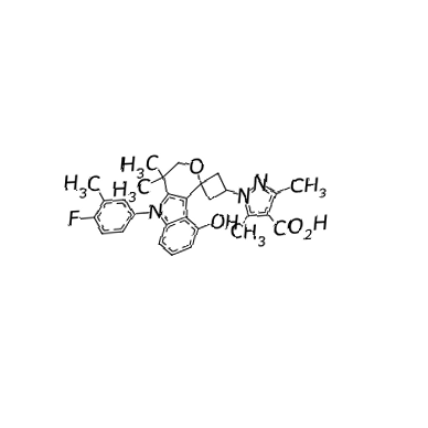 Cc1cc(-n2c3c(c4c(O)cccc42)C2(CC(n4nc(C)c(C(=O)O)c4C)C2)OCC3(C)C)ccc1F